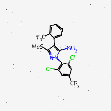 CSc1nn(-c2c(Cl)cc(C(F)(F)F)cc2Cl)c(N)c1-c1ccccc1C(F)(F)F